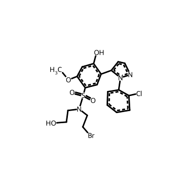 COc1cc(O)c(-c2ccnn2-c2ccccc2Cl)cc1S(=O)(=O)N(CCO)CCBr